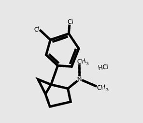 CN(C)C1CCC2CC21c1ccc(Cl)c(Cl)c1.Cl